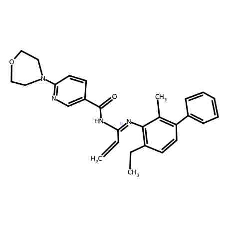 C=C/C(=N\c1c(CC)ccc(-c2ccccc2)c1C)NC(=O)c1ccc(N2CCOCC2)nc1